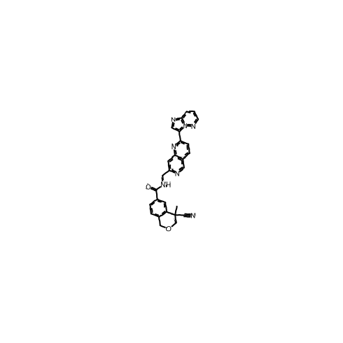 CC1(C#N)COCc2ccc(C(=O)NCc3cc4nc(-c5cnc6cccnn56)ccc4cn3)cc21